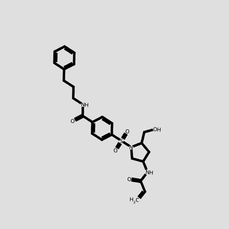 C=CC(=O)NC1CC(CO)N(S(=O)(=O)c2ccc(C(=O)NCCCc3ccccc3)cc2)C1